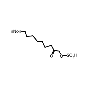 CCCCCCCCCCCCCCCCC(=O)COS(=O)(=O)O